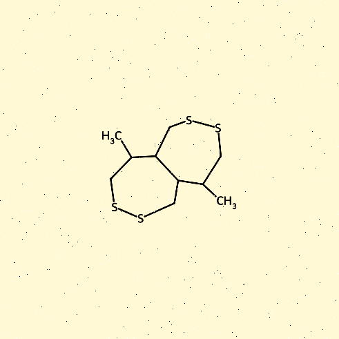 CC1CSSCC2C(C)CSSCC12